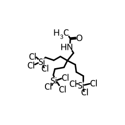 CC(=O)NCC(CCC[Si](Cl)(Cl)Cl)(CCC[Si](Cl)(Cl)Cl)CCC[Si](Cl)(Cl)Cl